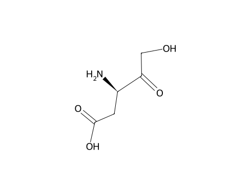 N[C@H](CC(=O)O)C(=O)CO